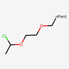 CCCCCCOCCOC(C)Cl